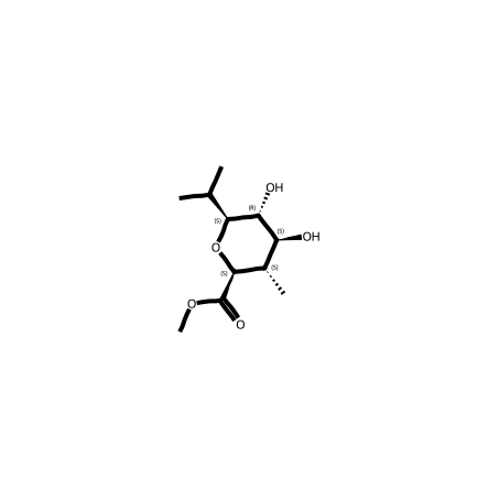 COC(=O)[C@H]1O[C@@H](C(C)C)[C@H](O)[C@@H](O)[C@@H]1C